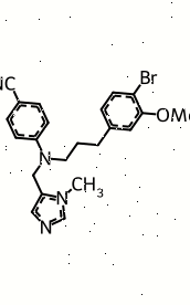 COc1cc(CCCN(Cc2cncn2C)c2ccc(C#N)cc2)ccc1Br